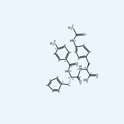 CC(=O)Nc1ccc(C[C@H](NC(=O)[C@H](Cc2ccccc2)NC(=O)c2ccc(C)cc2)C(=O)O)cc1